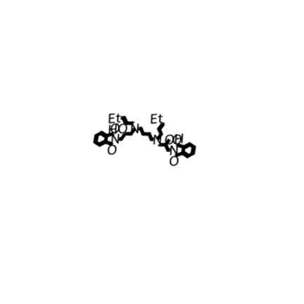 CCC=CCN(CCCCN(CC=CCC)CC(O)CN1C(=O)c2ccccc2C1=O)CC(O)CN1C(=O)c2ccccc2C1=O